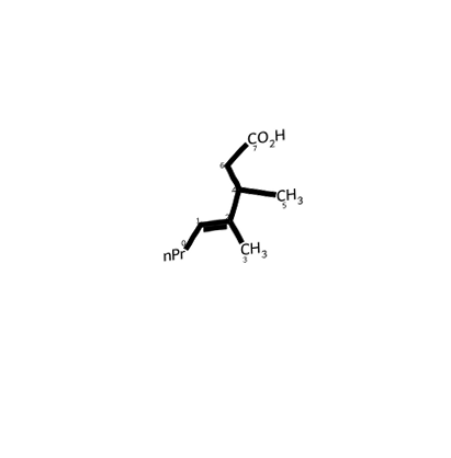 CCC/C=C(\C)C(C)CC(=O)O